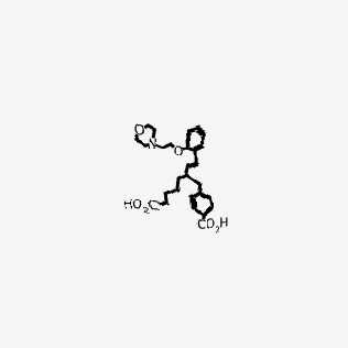 O=C(O)CCCCC(/C=C/c1ccccc1OCCN1CCOCC1)Cc1ccc(C(=O)O)cc1